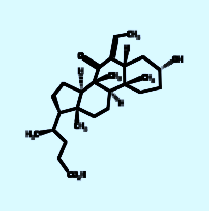 C/C=C1/C(=O)[C@@]2(C)[C@@H]3CC[C@H]([C@H](C)CCC(=O)O)[C@@]3(C)CC[C@@H]2[C@@]2(C)CC[C@@H](O)C[C@@H]12